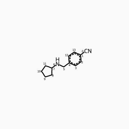 N#Cc1ccc(CNC2CCCC2)cc1